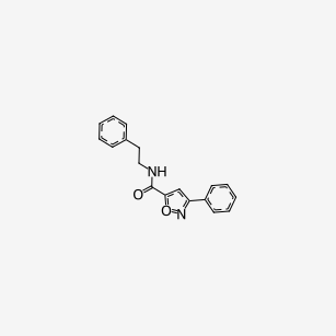 O=C(NCCc1ccccc1)c1cc(-c2ccccc2)no1